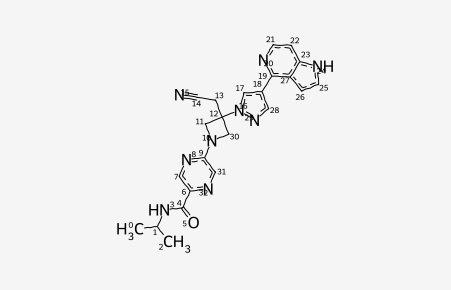 CC(C)NC(=O)c1cnc(N2CC(CC#N)(n3cc(-c4nccc5[nH]ccc45)cn3)C2)cn1